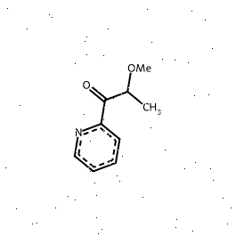 COC(C)C(=O)c1ccccn1